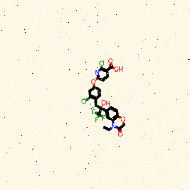 CCN1C(=O)COc2ccc([C@](O)([C@H](C)c3ccc(Oc4ccc(C(=O)O)c(Cl)n4)cc3Cl)C(F)(F)F)cc21